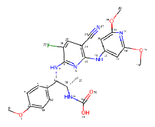 COc1ccc([C@H](Nc2nc(Nc3cc(OC)nc(OC)c3)c(C#N)cc2F)[C@H](C)NC(=O)O)cc1